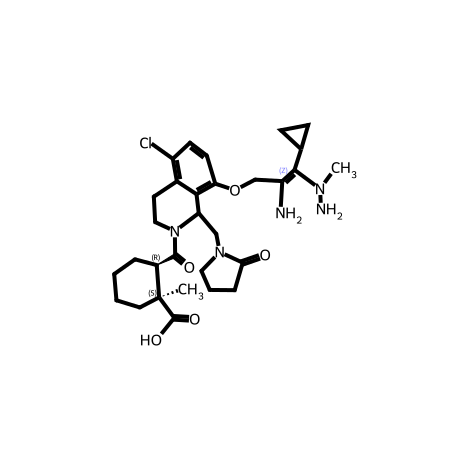 CN(N)/C(=C(\N)COc1ccc(Cl)c2c1C(CN1CCCC1=O)N(C(=O)[C@@H]1CCCC[C@]1(C)C(=O)O)CC2)C1CC1